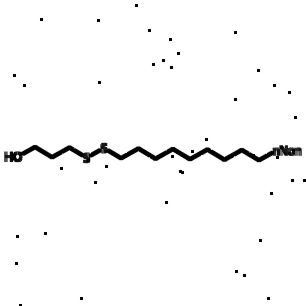 CCCCCCCCCCCCCCCCCCSSCCCO